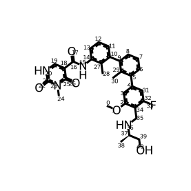 COc1cc(-c2cccc(-c3cccc(NC(=O)c4c[nH]c(=O)n(C)c4=O)c3C)c2C)cc(F)c1CN[C@H](C)CO